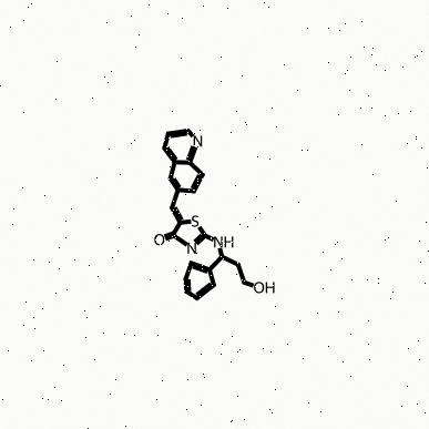 O=C1N=C(NC(CCO)c2ccccc2)S/C1=C\c1ccc2ncccc2c1